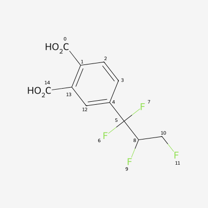 O=C(O)c1ccc(C(F)(F)C(F)CF)cc1C(=O)O